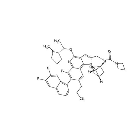 CC(Oc1nc2c(F)c(-c3cccc4cc(F)c(F)cc34)c(CCC#N)cc2c2c1cc(CCC(=O)N1CCC1)n2[C@H]1[C@H]2CN[C@@H]1C2)[C@@H]1CCCN1C